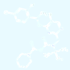 CC(Oc1nc(CN(C(=O)OC(=O)N2CCCCC2)C(C)(C)C)ncc1Cl)c1ccc(Cl)cc1Cl